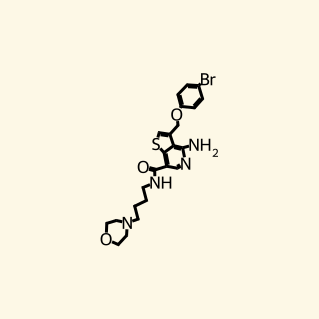 Nc1ncc(C(=O)NCCCCN2CCOCC2)c2scc(COc3ccc(Br)cc3)c12